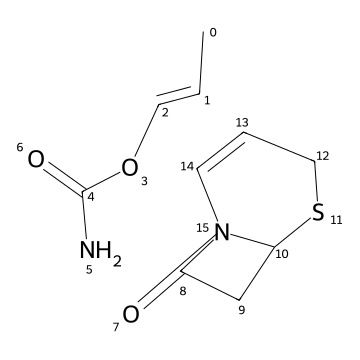 CC=COC(N)=O.O=C1CC2SCC=CN12